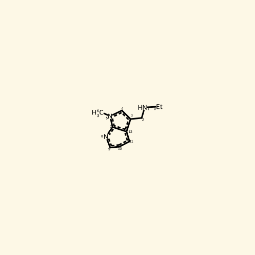 CCNCc1cn(C)c2ncccc12